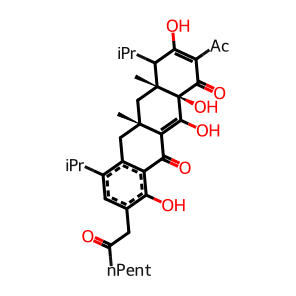 CCCCCC(=O)Cc1cc(C(C)C)c2c(c1O)C(=O)C1=C(O)[C@@]3(O)C(=O)C(C(C)=O)=C(O)C(C(C)C)[C@@]3(C)C[C@@]1(C)C2